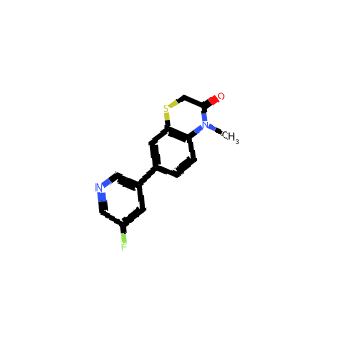 CN1C(=O)CSc2cc(-c3cncc(F)c3)ccc21